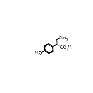 NC[C@H](C(=O)O)c1ccc(O)cc1